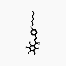 CCCCCCSc1ccc(C=CC(=O)c2c(F)c(F)c(F)c(F)c2F)cc1